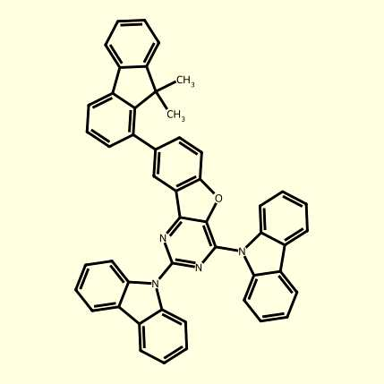 CC1(C)c2ccccc2-c2cccc(-c3ccc4oc5c(-n6c7ccccc7c7ccccc76)nc(-n6c7ccccc7c7ccccc76)nc5c4c3)c21